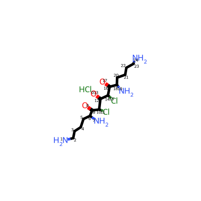 Cl.NCCCCC(N)C(=O)C(Cl)C(=O)C(Cl)C(=O)C(N)CCCCN